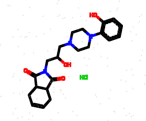 Cl.O=C1C2CC=CCC2C(=O)N1CC(O)CN1CCN(c2ccccc2O)CC1